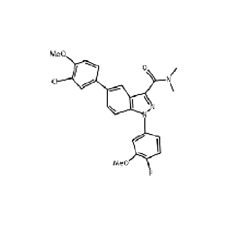 COc1cc(-n2nc(C(=O)N(C)C)c3cc(-c4ccc(OC)c(Cl)c4)ccc32)ccc1F